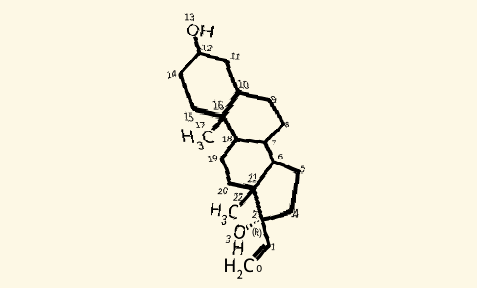 C=C[C@]1(O)CCC2C3CCC4CC(O)CCC4(C)C3CCC21C